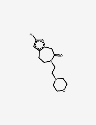 CC(C)c1cc2n(n1)CC(=O)N(CCN1CCOCC1)CC2